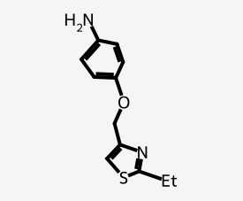 CCc1nc(COc2ccc(N)cc2)cs1